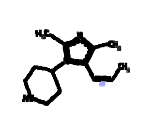 C/C=C\c1c(C)nc(C)n1C1CCNCC1